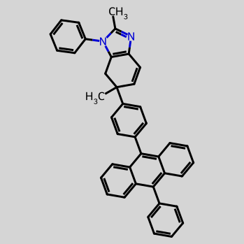 Cc1nc2c(n1-c1ccccc1)CC(C)(c1ccc(-c3c4ccccc4c(-c4ccccc4)c4ccccc34)cc1)C=C2